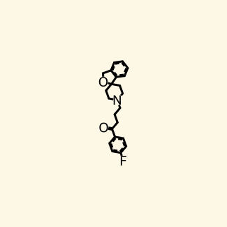 O=C(CCCN1CCC2(CC1)OCc1ccccc12)c1ccc(F)cc1